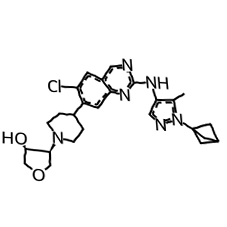 Cc1c(Nc2ncc3cc(Cl)c(C4CCN([C@H]5COC[C@H]5O)CC4)cc3n2)cnn1C12CC(C1)C2